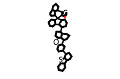 c1ccc2c(c1)-c1c(-c3ccc4c5c(cccc35)-c3cc(-c5cccc6c5sc5ccccc56)ccc3O4)cccc1C21c2ccccc2-c2cccc3cccc1c23